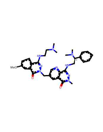 COc1ccc2c(NCCN(C)C)nn(Cc3cnc4c(NC[C@H](c5ccccc5)N(C)C)nn(C)c(=O)c4c3)c(=O)c2c1